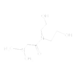 CN(C)CC(=O)N(CCO)CCO